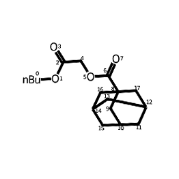 CCCCOC(=O)COC(=O)C12CC3CC(CC(C3)C1)C2